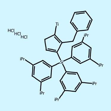 CC(C)c1cc(C(C)C)cc([Si](C2=CC[C]([Ti])=C2Cc2ccccc2)(c2cc(C(C)C)cc(C(C)C)c2)c2cc(C(C)C)cc(C(C)C)c2)c1.Cl.Cl.Cl